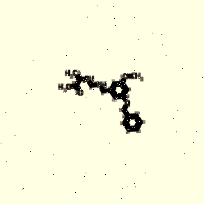 C=C(BCNCc1cc(OC)cc(OCc2ccccc2)c1)C(C)=O